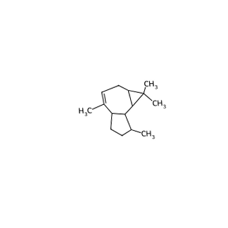 CC1=CCC2C(C3C(C)CCC13)C2(C)C